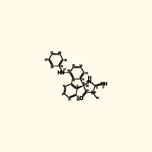 CN1C(=N)N[C@@](c2ccccc2)(c2cccc(Nc3ccccc3)c2)C1=O